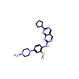 CCOc1cc(N2CCN(C)CC2)ccc1Nc1ncc2cnc(C3CCCC3)nc2n1